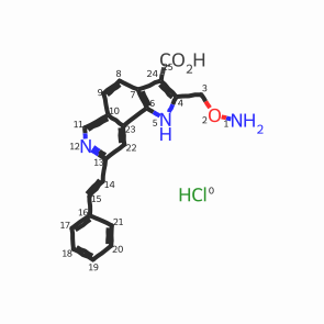 Cl.NOCc1[nH]c2c(ccc3cnc(/C=C/c4ccccc4)cc32)c1C(=O)O